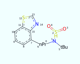 CCCN([SH](=O)=O)C(C)(C)C.Cc1cccc2scnc12